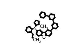 C=CCc1ccccc1N(C1=CCC[C@@H]1C)c1ccc2oc3ccc(-c4cccc(-c5cccc(-c6ccccc6)c5)c4)cc3c2c1